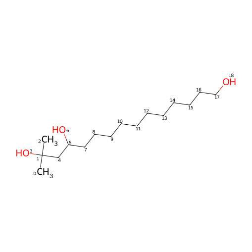 CC(C)(O)CC(O)CCCCCCCCCCCO